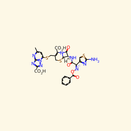 Cc1cc(SCC2=C(C(=O)O)N3C(=O)[C@@H](NC(=O)/C(=N\OC(=O)c4ccccc4)c4csc(N)n4)[C@H]3SC2)n2nc(C(=O)O)nc2n1